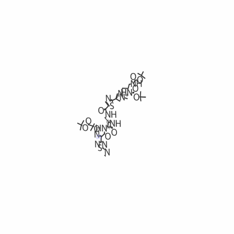 C=Nc1nc(/C(=N/OC(C)(C)C(=O)OC(C)(C)C)C(=O)N[C@@H]2C(=O)N[C@@H]2CNC(=O)c2cnc(-c3cn(CC(CNC(=O)OC(C)(C)C)NC(=O)OC(C)(C)C)[n+](C)c3)s2)ns1